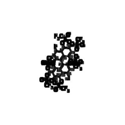 COc1cc(I)c2c(OS(=O)(=O)C(F)(F)F)c(OS(=O)(=O)C(F)(F)F)cc(OS(=O)(=O)C(F)(F)F)c2c1-c1c(OC)cc(I)c2c(OS(=O)(=O)C(F)(F)F)c(OS(=O)(=O)C(F)(F)F)cc(OS(=O)(=O)C(F)(F)F)c12